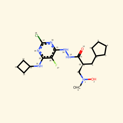 O=CN(O)C[C@H](CC1CCCC1)C(=O)NNc1nc(Cl)nc(NC2CCC2)c1F